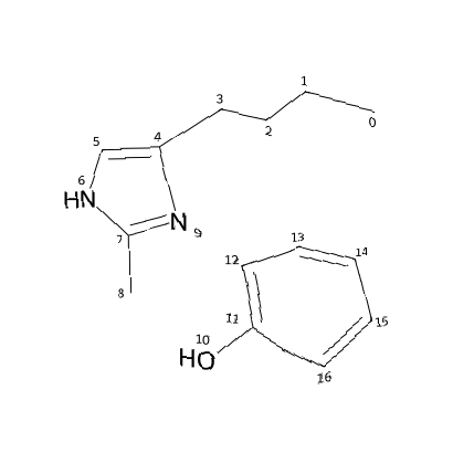 CCCCc1c[nH]c(C)n1.Oc1ccccc1